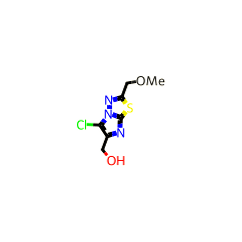 COCc1nn2c(Cl)c(CO)nc2s1